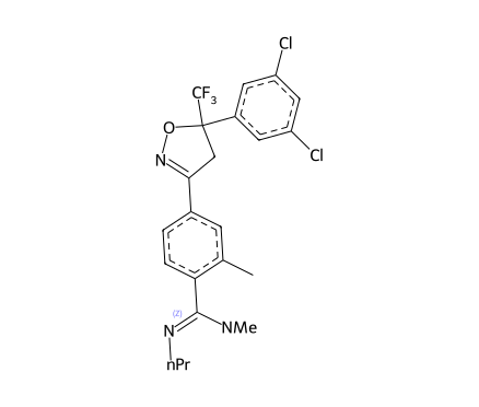 CCC/N=C(\NC)c1ccc(C2=NOC(c3cc(Cl)cc(Cl)c3)(C(F)(F)F)C2)cc1C